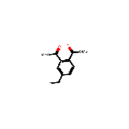 COC(=O)c1ccc(CC(C)C)cc1C(=O)OC